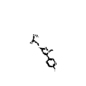 COC(=O)COc1cc(-c2ccc(F)nc2)n(C)n1